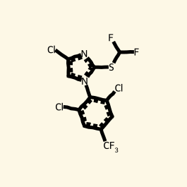 FC(F)Sc1nc(Cl)cn1-c1c(Cl)cc(C(F)(F)F)cc1Cl